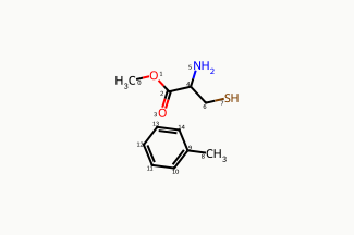 COC(=O)C(N)CS.Cc1ccccc1